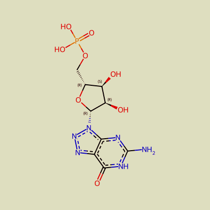 Nc1nc2c(nnn2[C@@H]2O[C@H](COP(=O)(O)O)[C@@H](O)[C@H]2O)c(=O)[nH]1